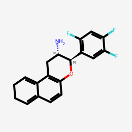 N[C@H]1Cc2c(ccc3c2=CCCC=3)O[C@@H]1c1cc(F)c(F)cc1F